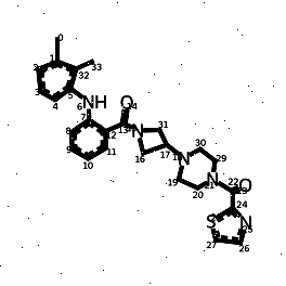 Cc1cccc(Nc2ccccc2C(=O)N2CC(N3CCN(C(=O)c4nccs4)CC3)C2)c1C